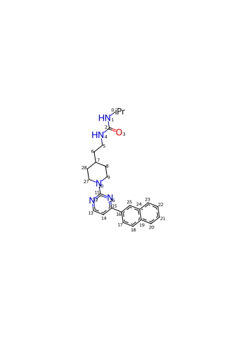 CC(C)NC(=O)NCCC1CCN(c2nccc(-c3ccc4ccccc4c3)n2)CC1